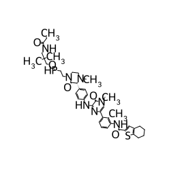 CCC(=O)NCC(C)(C)COPCCN1CCN(C)[C@H](c2ccc(Nc3nc(-c4cccc(NC(=O)c5cc6c(s5)CCCC6)c4C)cn(C)c3=O)cc2)C1=O